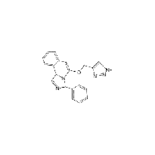 C1=NC(c2ccccc2)N2C(OCc3c[nH]nn3)=Cc3ccccc3C12